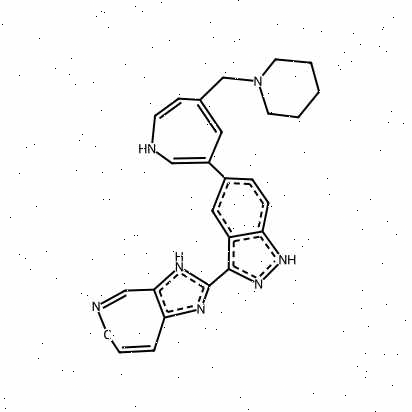 C1=Cc2nc(-c3n[nH]c4ccc(C5=CNC=CC(CN6CCCCC6)=C5)cc34)[nH]c2C=NC1